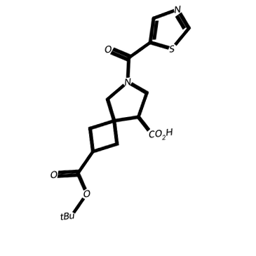 CC(C)(C)OC(=O)C1CC2(C1)CN(C(=O)c1cncs1)CC2C(=O)O